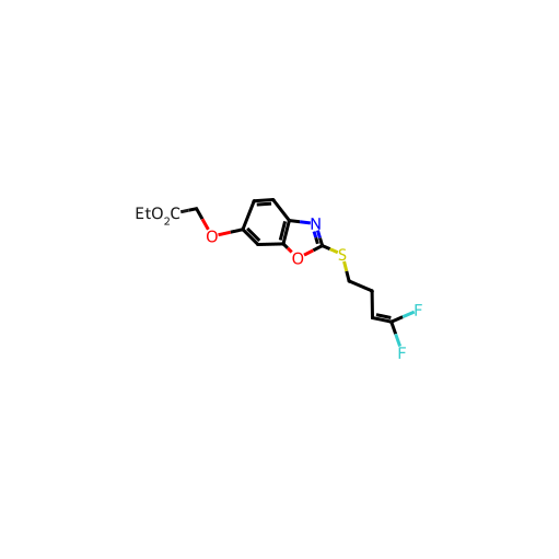 CCOC(=O)COc1ccc2nc(SCCC=C(F)F)oc2c1